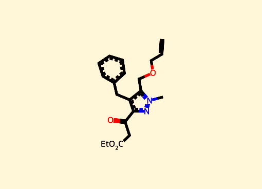 C=CCOCc1c(Cc2ccccc2)c(C(=O)CC(=O)OCC)nn1C